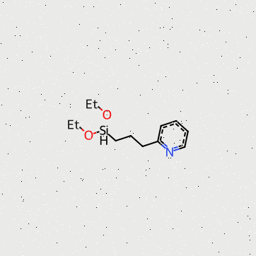 CCO[SiH](CCCc1ccccn1)OCC